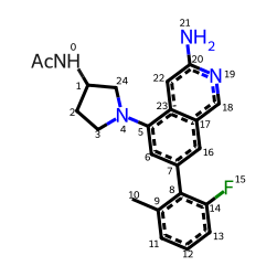 CC(=O)NC1CCN(c2cc(-c3c(C)cccc3F)cc3cnc(N)cc23)C1